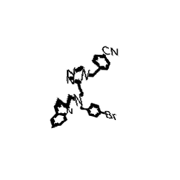 N#Cc1ccc(Cn2cnnc2CN(Cc2ccc(Br)cc2)Cc2ccc3ccccc3n2)cc1